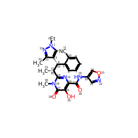 CCn1cc([C@H](c2ccccc2C#N)[C@@H](C)c2nc(C(=O)Nc3cnoc3)c(O)c(=O)n2C)c(C)n1